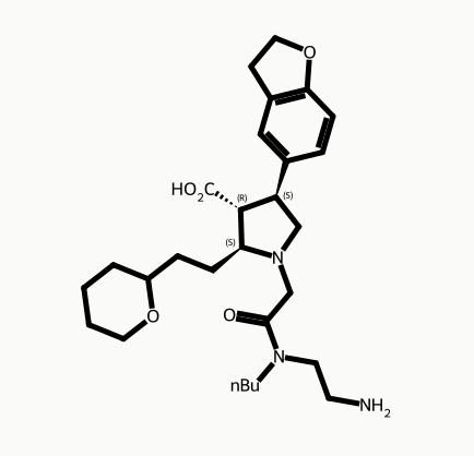 CCCCN(CCN)C(=O)CN1C[C@H](c2ccc3c(c2)CCO3)[C@@H](C(=O)O)[C@@H]1CCC1CCCCO1